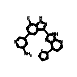 Nc1cncc(-c2cc(F)c3[nH]nc(-c4nc5c(-c6cccs6)ccnc5[nH]4)c3c2)c1